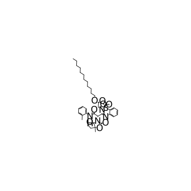 CCCCCCCCCCCCOC(=O)CN1C(C(C(=O)Nc2ccccc2C)N2C(=O)OC(C)(CC)C2=O)=Nc2ccccc2S1(=O)=O